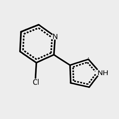 Clc1cccnc1-c1[c][nH]cc1